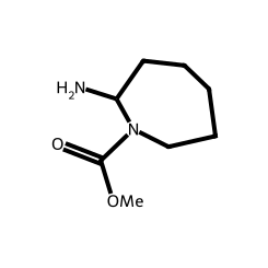 COC(=O)N1CCCCCC1N